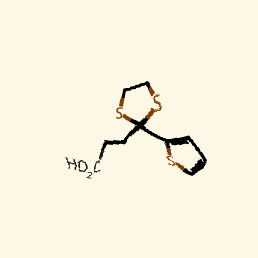 O=C(O)CCC1(c2cccs2)SCCS1